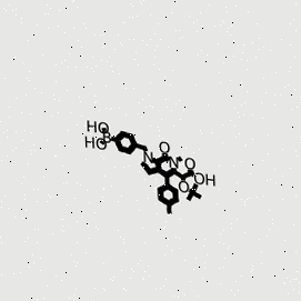 Cc1ccc(-c2c(C(OC(C)(C)C)C(=O)O)n(C)c(=O)c3c2ccn3Cc2ccc(B(O)O)cc2)cc1